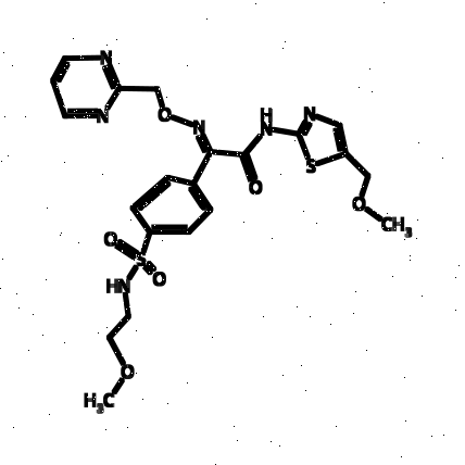 COCCNS(=O)(=O)c1ccc(/C(=N\OCc2ncccn2)C(=O)Nc2ncc(COC)s2)cc1